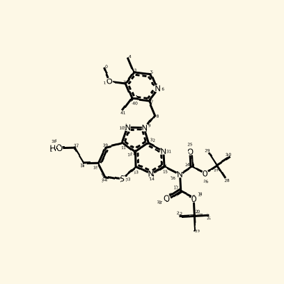 COc1c(C)cnc(Cn2nc3c4c(nc(N(C(=O)OC(C)(C)C)C(=O)OC(C)(C)C)nc42)SCC(CCO)=C3)c1C